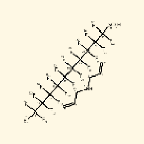 C=CCNCC=C.CCC(F)(F)C(F)(F)C(F)(F)C(F)(F)C(F)(F)C(F)(F)C(F)(F)C(F)(F)C(F)(F)C(F)(F)S(=O)(=O)O